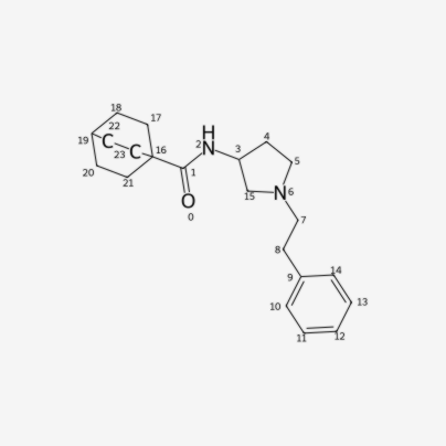 O=C(NC1CCN(CCc2ccccc2)C1)C12CCC(CC1)CC2